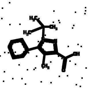 Cc1c(C(=O)O)nn(C(C)(C)C)c1-c1ccccc1